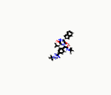 CC(C)C[C@@H]1C(=O)N[C@H](C2Cc3ccccc3C2)C(=O)N1[C@@H](C(=O)NC(C)(C)C)c1ccc(-c2nnn(C(C)(C)C)n2)cc1